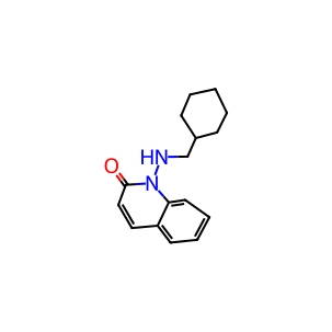 O=c1ccc2ccccc2n1NCC1CCCCC1